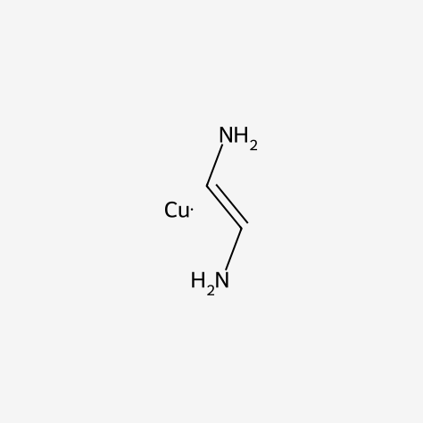 NC=CN.[Cu]